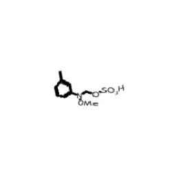 CON(COS(=O)(=O)O)c1cccc(C)c1